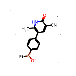 CC[S+]([O-])c1ccc(-c2cc(C#N)c(=O)[nH]c2C)cc1